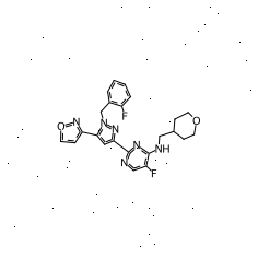 Fc1ccccc1Cn1nc(-c2ncc(F)c(NCC3CCOCC3)n2)cc1-c1ccon1